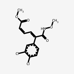 CONC(=O)/C(=C/C=C\C(=O)OC)c1ccc(Cl)c(Cl)c1